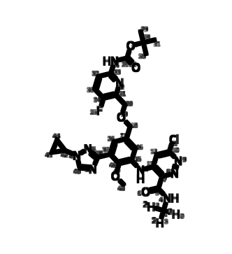 [2H]C([2H])([2H])NC(=O)c1nnc(Cl)cc1Nc1cc(COCc2nc(NC(=O)OC(C)(C)C)ccc2F)cc(-c2ncn(C3CC3)n2)c1OC